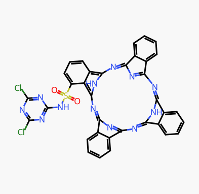 O=S(=O)(Nc1nc(Cl)nc(Cl)n1)c1cccc2c3nc4nc(nc5[nH]c(nc6nc(nc([nH]3)c12)-c1ccccc1-6)c1ccccc51)-c1ccccc1-4